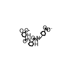 COc1ccc(C(=O)Nc2ccccc2C(=O)NN=Cc2ccc([N+](=O)[O-])cc2)cc1OC